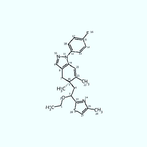 CCOC(C[C@@]1(C)Cc2cnn(-c3ccc(F)cc3)c2C=C1C)c1nc(C)cs1